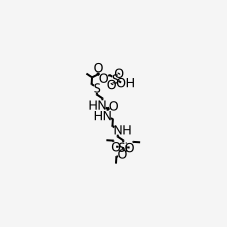 CCO[Si](CCNCCNC(=O)NCCSCC(C)C(=O)OCS(=O)(=O)O)(OCC)OCC